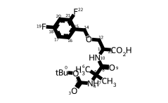 CC(C)(C)OC(=O)NC(C)(C)C(=O)NC(COCc1ccc(F)cc1F)C(=O)O